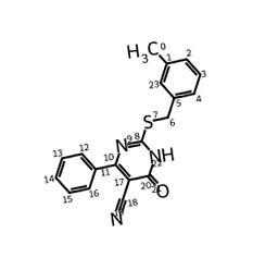 Cc1cccc(CSc2nc(-c3ccccc3)c(C#N)c(=O)[nH]2)c1